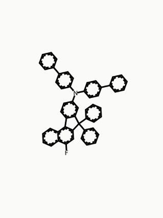 Fc1cc2c(c3ccccc13)-c1ccc(N(c3ccc(-c4ccccc4)cc3)c3ccc(-c4ccccc4)cc3)cc1C2(c1ccccc1)c1ccccc1